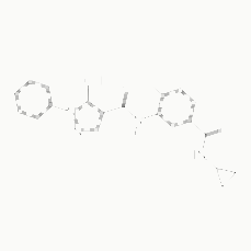 Cc1ccc(C(=O)NC2CC2)cc1N(C)C(=O)c1cnn(-c2ccccc2)c1C